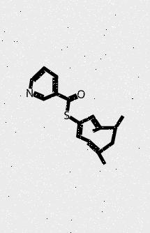 C\C1=C/C=C(SC(=O)c2cccnc2)\C=C(/C)C(C)C1